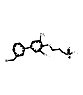 Cc1cc(-c2cccc(CBr)c2)cc(C)c1OCCCS(C)(=O)=O